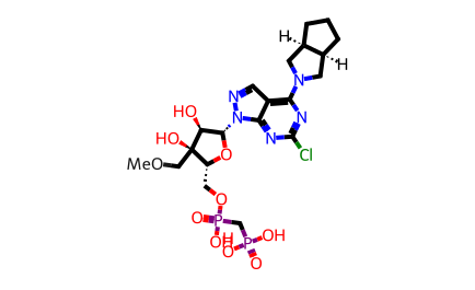 COC[C@@]1(O)[C@@H](COP(=O)(O)CP(=O)(O)O)O[C@@H](n2ncc3c(N4C[C@H]5CCC[C@H]5C4)nc(Cl)nc32)[C@@H]1O